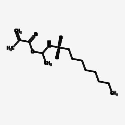 C=C(C)C(=O)OC(C)NS(=O)(=O)CCCCCCCC